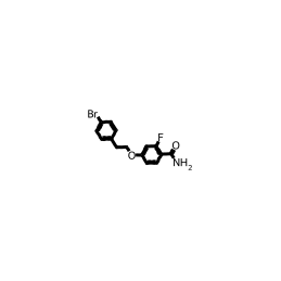 NC(=O)c1ccc(OCCc2ccc(Br)cc2)cc1F